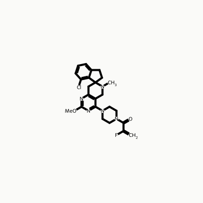 C=C(F)C(=O)N1CCN(c2nc(OC)nc3c2CN(C)C2(CCc4cccc(Cl)c42)C3)CC1